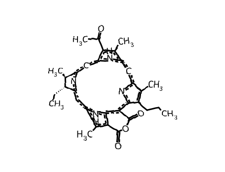 CCCC1=C(C)c2cc3[nH]c(cc4nc(cc5[nH]c6c(c1n2)C(=O)OC(=O)c6c5C)[C@H](CC)[C@H]4C)c(C(C)=O)c3C